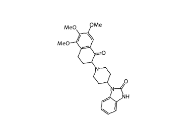 COc1cc2c(c(OC)c1OC)CCC(N1CCC(n3c(=O)[nH]c4ccccc43)CC1)C2=O